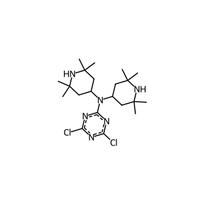 CC1(C)CC(N(c2nc(Cl)nc(Cl)n2)C2CC(C)(C)NC(C)(C)C2)CC(C)(C)N1